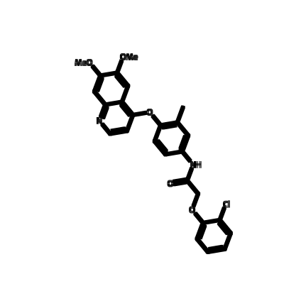 COc1cc2nccc(Oc3ccc(NC(=O)COc4ccccc4Cl)cc3C)c2cc1OC